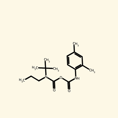 CCCN(C(=O)OC(=O)Nc1ccc(C)cc1C)C(C)(C)C